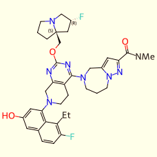 CCc1c(F)ccc2cc(O)cc(N3CCc4c(nc(OC[C@@]56CCCN5C[C@H](F)C6)nc4N4CCCn5nc(C(=O)NC)cc5C4)C3)c12